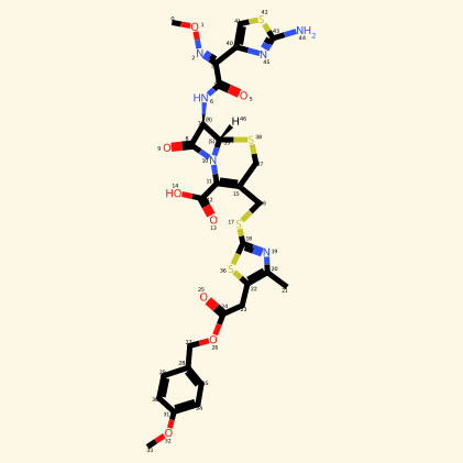 CON=C(C(=O)N[C@@H]1C(=O)N2C(C(=O)O)=C(CSc3nc(C)c(CC(=O)OCc4ccc(OC)cc4)s3)CS[C@@H]12)c1csc(N)n1